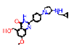 COc1cc(CO)c2c(=O)[nH]c(-c3ccc(N4CCC(NCC5CC5)C4)cc3)nc2c1